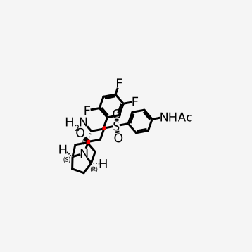 CC(=O)Nc1ccc(S(=O)(=O)CCC(=O)N2[C@@H]3CC[C@H]2C[C@H](C(N)Cc2cc(F)c(F)cc2F)C3)cc1